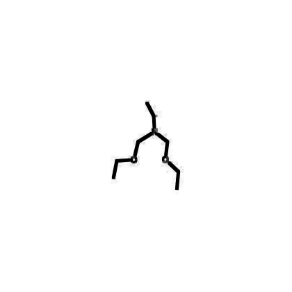 C[CH]N(COCC)COCC